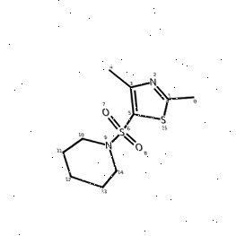 Cc1nc(C)c(S(=O)(=O)N2CCCCC2)s1